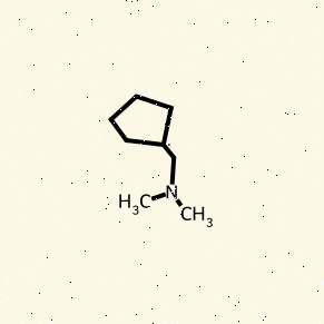 CN(C)C[C]1CCCC1